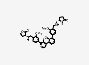 COc1cc(-c2nccc(-c3cccc(-c4ccc(CNC[C@@H]5CCC(=O)N5)c(OC)n4)c3Cl)c2Cl)cnc1CN[C@@H]1CCOC1=O